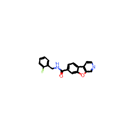 O=C(NCc1ccccc1F)c1ccc2c(c1)oc1cnccc12